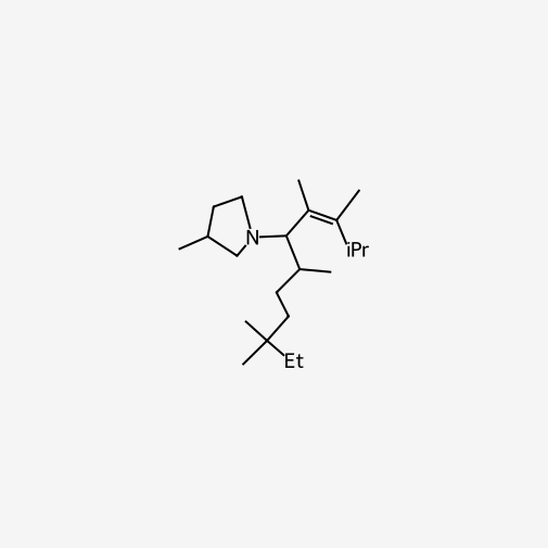 CCC(C)(C)CCC(C)C(/C(C)=C(/C)C(C)C)N1CCC(C)C1